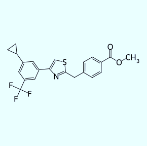 COC(=O)c1ccc(Cc2nc(-c3cc(C4CC4)cc(C(F)(F)F)c3)cs2)cc1